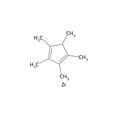 CC1=C(C)C(C)C(C)=C1C.[Zr]